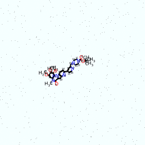 COc1cc(N(C)C(=O)c2cc3nc(-c4ccnc(CN5CCN(C(=O)OC(C)(C)C)CC5)c4)ccc3[nH]2)cc(OC)c1OC